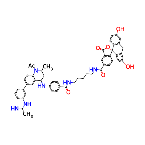 CC(=N)Nc1cccc(-c2ccc3c(c2)[C@H](Nc2ccc(C(=O)NCCCCCNC(=O)c4ccc5c(c4)C(=O)OC54c5ccc(O)cc5Cc5cc(O)ccc54)cc2)C[C@H](C)N3C(C)=O)c1